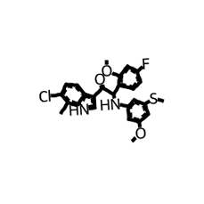 COc1cc(NC(C(=O)c2c[nH]c3c(C)c(Cl)ccc23)c2ccc(F)cc2OC)cc(SC)c1